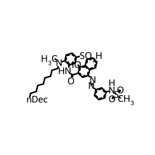 CCCCCCCCCCCCCCCCCCN(C)c1ccc(S(=O)(=O)O)cc1NC(=O)c1cc(/N=N/c2cccc(NS(C)(=O)=O)c2)c2ccccc2c1O